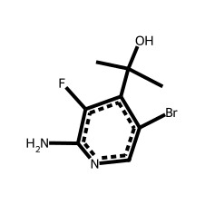 CC(C)(O)c1c(Br)cnc(N)c1F